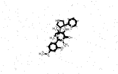 CCO[C@H]1CNC[C@@]1(Nc1c(C)nc(-c2ccc(OC)cc2Cl)n(C)c1=O)c1ccccn1